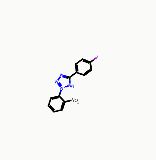 O=[N+]([O-])c1ccccc1-[n+]1nnc(-c2ccc(I)cc2)[nH]1